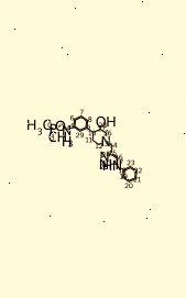 CP(C)ONc1cccc(C2CCN(C/C(=C/Nc3ccccc3)N=N)CC2O)c1